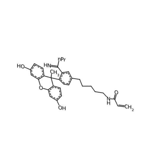 C=CC(=O)NCCCCCc1ccc(C2(C)c3ccc(O)cc3Oc3cc(O)ccc32)c(C(=N)CCC)c1